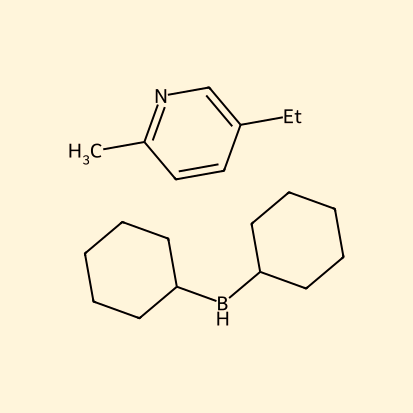 B(C1CCCCC1)C1CCCCC1.CCc1ccc(C)nc1